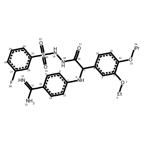 CCOc1cc(C(Nc2ccc(C(=N)N)cc2)C(=O)NNS(=O)(=O)c2cccc(F)c2)ccc1OC(C)C